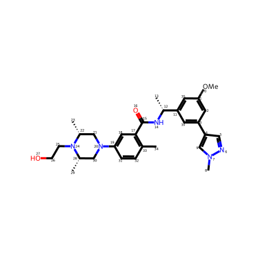 COc1cc(-c2cnn(C)c2)cc([C@@H](C)NC(=O)c2cc(N3C[C@@H](C)N(CCO)[C@@H](C)C3)ccc2C)c1